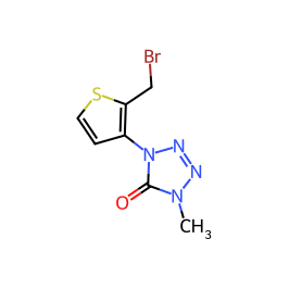 Cn1nnn(-c2ccsc2CBr)c1=O